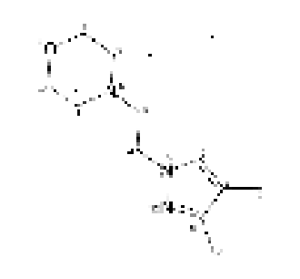 Cc1cn(CCN2CCOCC2)nc1C